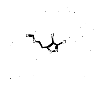 O=COCCc1snc(Cl)c1Cl